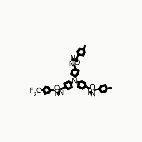 Cc1ccc(-c2nnc(-c3ccc(N(c4ccc(-c5nnc(-c6ccc(C)cc6)o5)cc4)c4ccc(-c5nnc(-c6ccc(C(F)(F)F)cc6)o5)cc4)cc3)o2)cc1